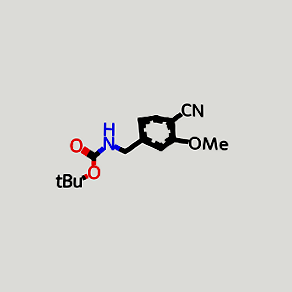 COc1cc(CNC(=O)OC(C)(C)C)ccc1C#N